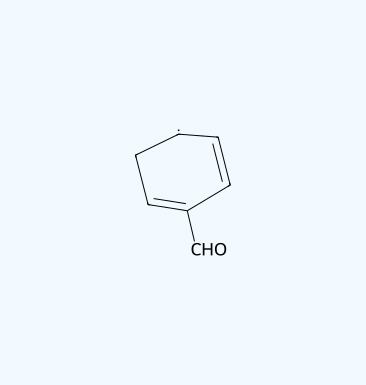 O=CC1=CC[CH]C=C1